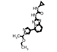 CCOC(C)n1cc(-c2cccc3nc(NC(=O)NC4CC4)nn23)cn1